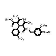 COc1ccc(COC(=O)C2=C(C)NC(C)=C(C(=O)OC(C)C)C2c2cccc([N+](=O)[O-])c2)cc1OC